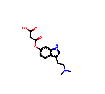 CN(C)CCc1c[nH]c2cc(OC(=O)CC(=O)O)ccc12